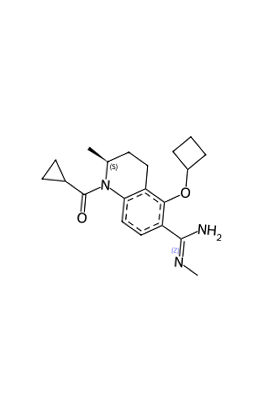 C/N=C(\N)c1ccc2c(c1OC1CCC1)CC[C@H](C)N2C(=O)C1CC1